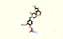 COc1cc(CN2CC[C@]3(C[C@@H]2C)OCCc2cc(Cl)sc23)ccc1OCC(N)=O